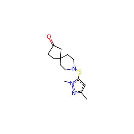 Cc1cc(SN2CCC3(CCC(=O)C3)CC2)n(C)n1